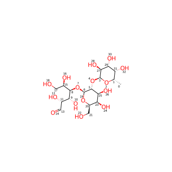 C[C@@H]1O[C@@H](O[C@H]2[C@H](O[C@@H]([C@H](O)[C@@H](O)C=O)[C@H](O)CO)O[C@H](CO)[C@H](O)[C@@H]2O)[C@@H](O)[C@H](O)[C@@H]1O